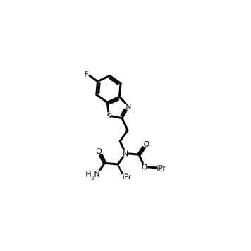 CC(C)OC(=O)N(CCc1nc2ccc(F)cc2s1)[C@H](C(N)=O)C(C)C